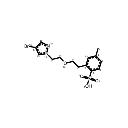 Cc1ccc(S(=O)(=O)O)c(CCOCCn2cc(Br)cn2)c1